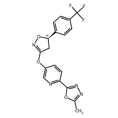 Cc1nnc(-c2ccc(OC3=NO[C@@H](c4ccc(C(F)(F)F)cc4)C3)cn2)o1